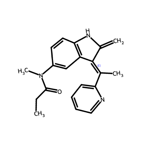 C=c1[nH]c2ccc(N(C)C(=O)CC)cc2/c1=C(/C)c1ccccn1